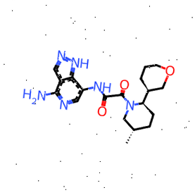 C[C@H]1CC[C@H]([C@H]2CCCOC2)N(C(=O)C(=O)Nc2cnc(N)c3cn[nH]c23)C1